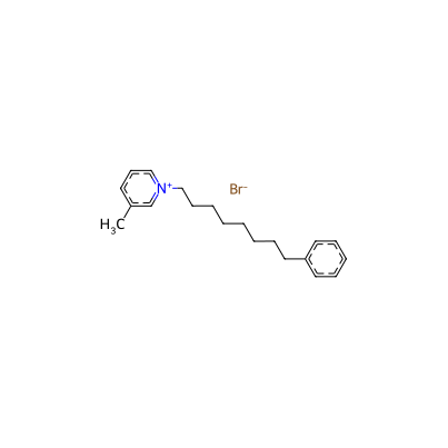 Cc1ccc[n+](CCCCCCCCc2ccccc2)c1.[Br-]